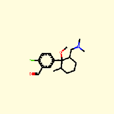 COC1(c2ccc(F)c(C=O)c2)C(C)CCCC1CN(C)C